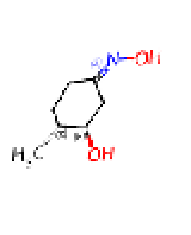 C[C@@H]1CC/C(=N/O)C[C@H]1O